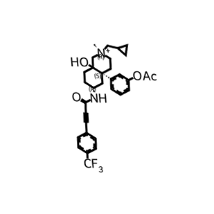 CC(=O)Oc1cccc([C@@]23CC[N@+](C)(CC4CC4)CC2(O)CC[C@@H](NC(=O)C#Cc2ccc(C(F)(F)F)cc2)C3)c1